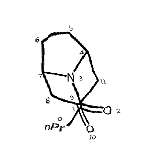 CCCC(=O)N1C2CCC1CC(=O)C2